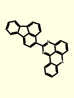 c1ccc2c(c1)Sc1cccc3nc(-c4ccc5c6c(cccc46)-c4ccccc4-5)nc-2c13